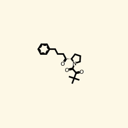 CC(C)(C)C(=O)C(=O)N1CCC[C@H]1C(=O)CCCc1ccccc1